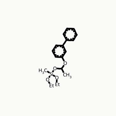 CCO[Si](C)(OCC)OC(C)Oc1cccc(-c2ccccc2)c1